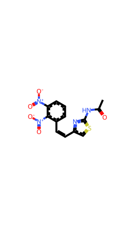 CC(=O)Nc1nc(/C=C\c2cccc([N+](=O)[O-])c2[N+](=O)[O-])cs1